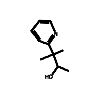 CC(O)C(C)(C)c1ccc[c]n1